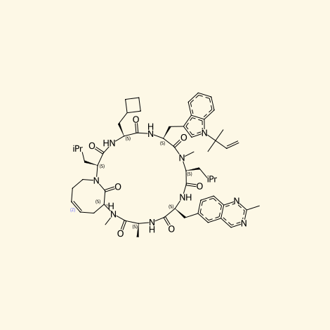 C=CC(C)(C)n1cc(C[C@@H]2NC(=O)[C@H](CC3CCC3)NC(=O)[C@H](CC(C)C)N3CC/C=C\C[C@@H](C3=O)N(C)C(=O)[C@H](C)NC(=O)[C@H](Cc3ccc4nc(C)ncc4c3)NC(=O)[C@H](CC(C)C)N(C)C2=O)c2ccccc21